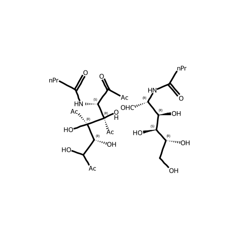 CCCC(=O)N[C@@H](C=O)[C@@H](O)[C@H](O)[C@H](O)CO.CCCC(=O)N[C@H](C(=O)C(C)=O)[C@](O)(C(C)=O)[C@@](O)(C(C)=O)[C@H](O)C(O)C(C)=O